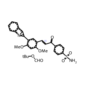 CC(C)(C)OC=O.COc1cc(OC)c(-c2c3c4ccccc4n2-3)cc1/C=C/C(=O)c1ccc(S(N)(=O)=O)cc1